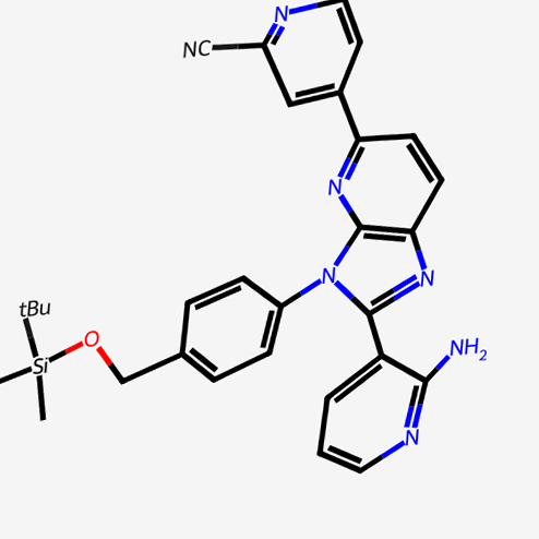 CC(C)(C)[Si](C)(C)OCc1ccc(-n2c(-c3cccnc3N)nc3ccc(-c4ccnc(C#N)c4)nc32)cc1